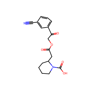 N#Cc1cccc(C(=O)COC(=O)CC2CCCCN2C(=O)O)c1